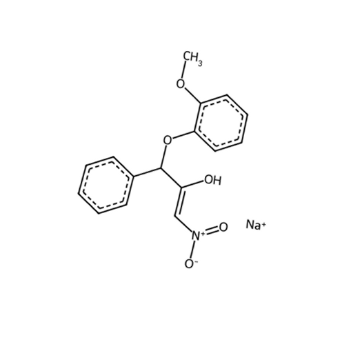 COc1ccccc1OC(C(O)=C[N+](=O)[O-])c1ccccc1.[Na+]